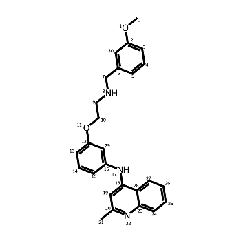 COc1cccc(CNCCOc2cccc(Nc3cc(C)nc4ccccc34)c2)c1